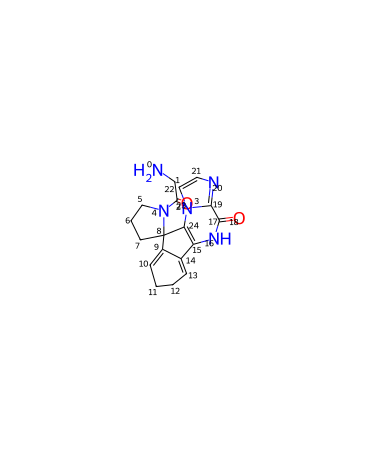 NCC(=O)N1CCCC12C1=CCCC=C1c1[nH]c(=O)c3nccn3c12